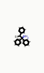 CCC(c1ccccc1)C(N)(c1ccccc1)c1ccccc1